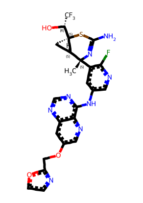 C[C@]1(c2cc(Nc3ncnc4cc(OCc5ncco5)cnc34)cnc2F)N=C(N)S[C@@]2([C@H](O)C(F)(F)F)C[C@H]21